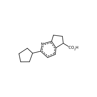 O=C(O)C1CCc2nc(C3CCCC3)ccc21